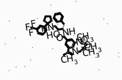 CCc1cn2c3c(cc(C(=O)N[C@@H](Cc4ccccc4)[C@H](O)CNC4(c5cccc(C(F)(F)F)c5)CCCC4)cc13)N(C)S(=O)(=O)C(C)(C)C2